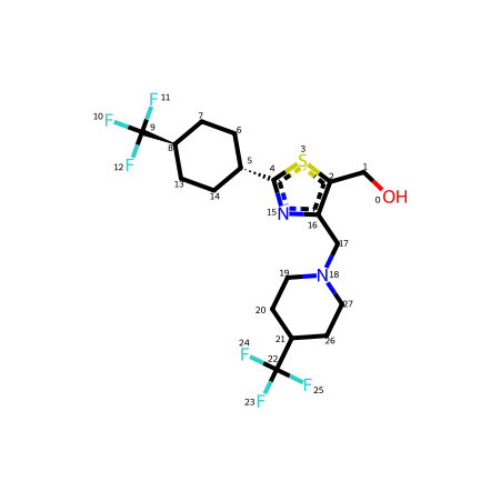 OCc1sc([C@H]2CC[C@H](C(F)(F)F)CC2)nc1CN1CCC(C(F)(F)F)CC1